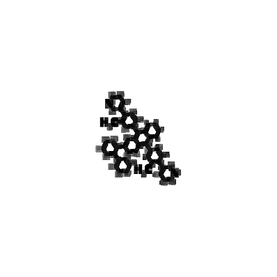 Cc1cc(-c2c3ccccc3c(-c3ccc(-c4cccnc4)c(C)c3)c3cc(-c4ccccc4-c4ccccc4)ccc23)ccc1-c1cccnc1